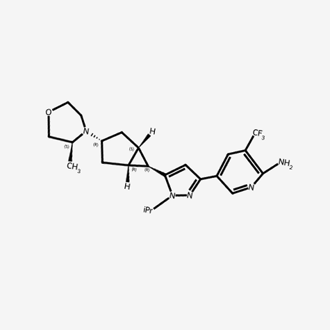 CC(C)n1nc(-c2cnc(N)c(C(F)(F)F)c2)cc1[C@H]1[C@@H]2C[C@H](N3CCOC[C@@H]3C)C[C@@H]21